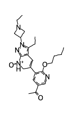 CCCCOc1ncc(C(C)=O)cc1C1=Cc2c(nn(C3CN(CC)C3)c2CC)[NH+]([O-])C1